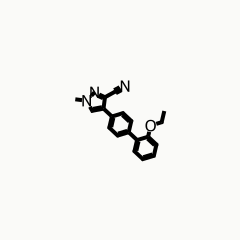 CCOc1ccccc1-c1ccc(-c2cn(C)nc2C#N)cc1